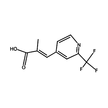 C/C(=C\c1ccnc(C(F)(F)F)c1)C(=O)O